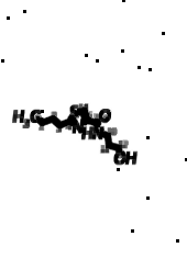 CCCCc1nc(C(=O)NCCCO)cs1